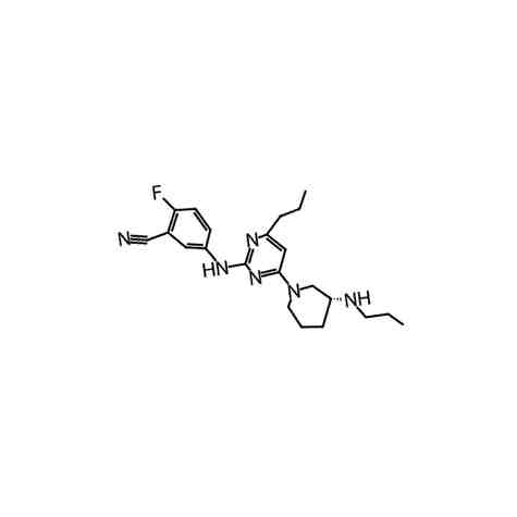 CCCN[C@@H]1CCCN(c2cc(CCC)nc(Nc3ccc(F)c(C#N)c3)n2)C1